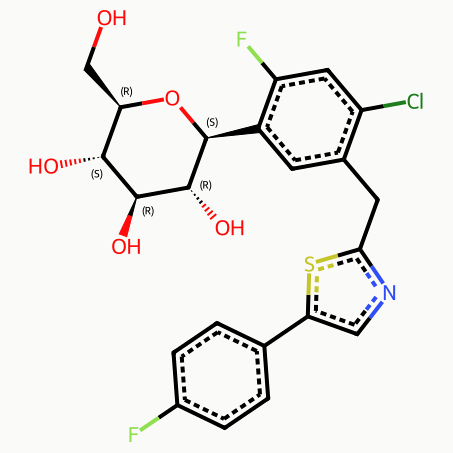 OC[C@H]1O[C@@H](c2cc(Cc3ncc(-c4ccc(F)cc4)s3)c(Cl)cc2F)[C@H](O)[C@@H](O)[C@@H]1O